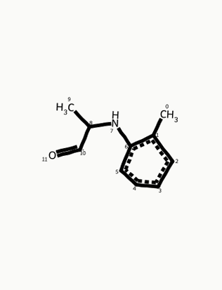 Cc1ccccc1NC(C)[C]=O